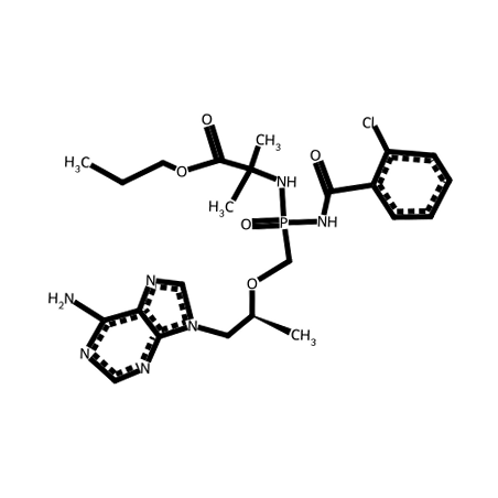 CCCOC(=O)C(C)(C)NP(=O)(CO[C@@H](C)Cn1cnc2c(N)ncnc21)NC(=O)c1ccccc1Cl